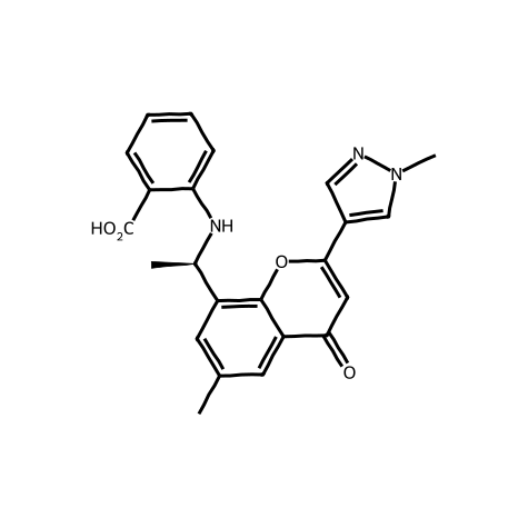 Cc1cc([C@@H](C)Nc2ccccc2C(=O)O)c2oc(-c3cnn(C)c3)cc(=O)c2c1